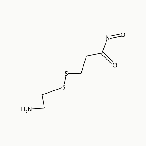 NCCSSCCC(=O)N=O